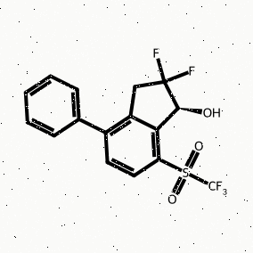 O=S(=O)(c1ccc(-c2ccccc2)c2c1[C@H](O)C(F)(F)C2)C(F)(F)F